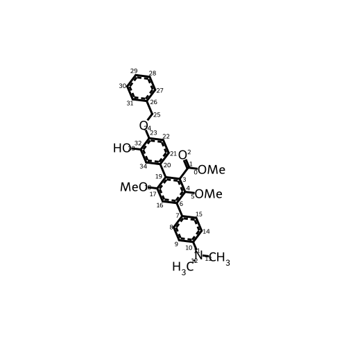 COC(=O)c1c(OC)c(-c2ccc(N(C)C)cc2)cc(OC)c1-c1ccc(OCc2ccccc2)c(O)c1